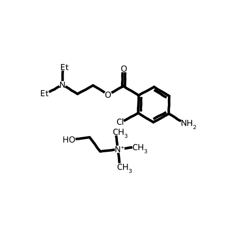 CCN(CC)CCOC(=O)c1ccc(N)cc1Cl.C[N+](C)(C)CCO